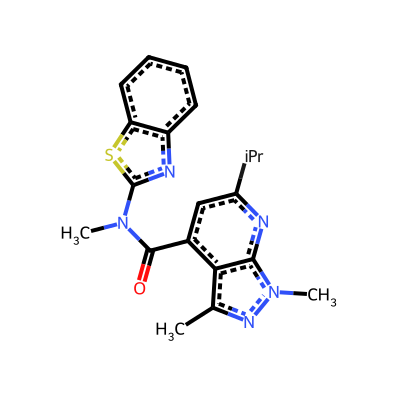 Cc1nn(C)c2nc(C(C)C)cc(C(=O)N(C)c3nc4ccccc4s3)c12